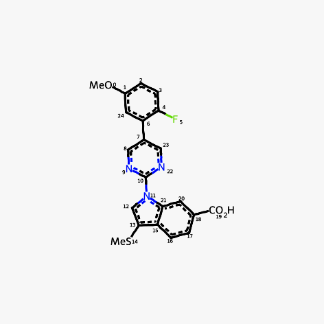 COc1ccc(F)c(-c2cnc(-n3cc(SC)c4ccc(C(=O)O)cc43)nc2)c1